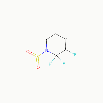 O=[SH](=O)N1CC[CH]C(F)C1(F)F